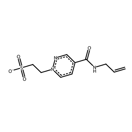 C=CCNC(=O)c1cc[n+](CCS(=O)(=O)[O-])nc1